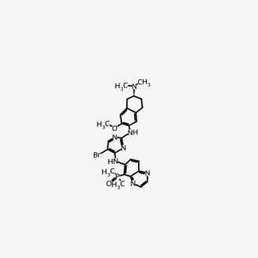 COc1cc2c(cc1Nc1ncc(Br)c(Nc3ccc4nccnc4c3P(C)(C)=O)n1)CC[C@H](N(C)C)C2